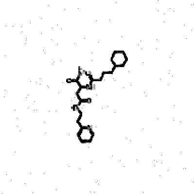 NC(=O)C(CC(=O)NCCc1ccccn1)NC(=O)CCCC1CCCCC1